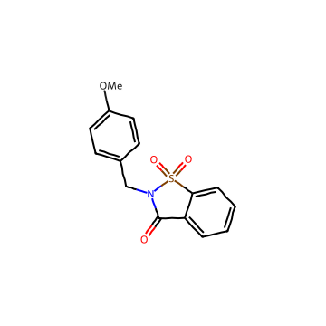 COc1ccc(CN2C(=O)c3ccccc3S2(=O)=O)cc1